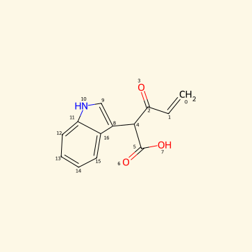 C=CC(=O)C(C(=O)O)c1c[nH]c2ccccc12